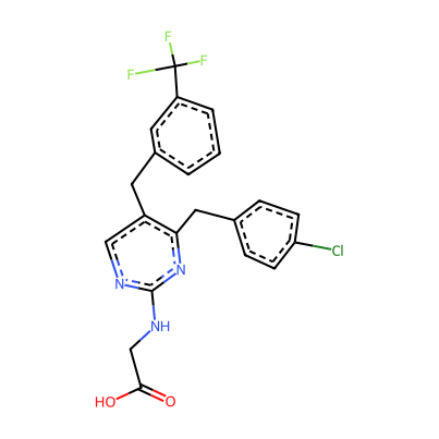 O=C(O)CNc1ncc(Cc2cccc(C(F)(F)F)c2)c(Cc2ccc(Cl)cc2)n1